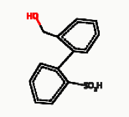 O=S(=O)(O)c1ccccc1-c1ccccc1CO